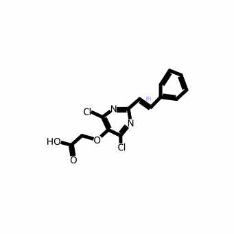 O=C(O)COc1c(Cl)nc(/C=C/c2ccccc2)nc1Cl